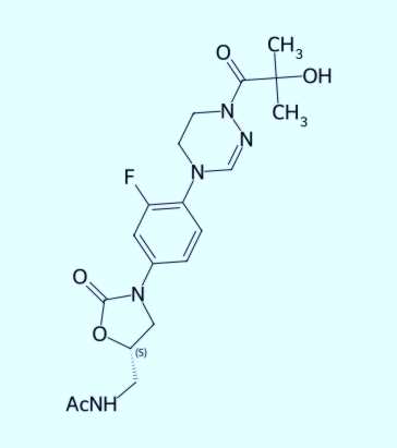 CC(=O)NC[C@H]1CN(c2ccc(N3C=NN(C(=O)C(C)(C)O)CC3)c(F)c2)C(=O)O1